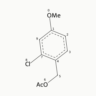 COc1ccc(COC(C)=O)c(Cl)c1